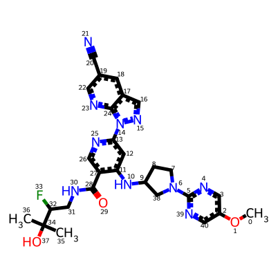 COc1cnc(N2CCC(Nc3cc(-n4ncc5cc(C#N)cnc54)ncc3C(=O)NCC(F)C(C)(C)O)C2)nc1